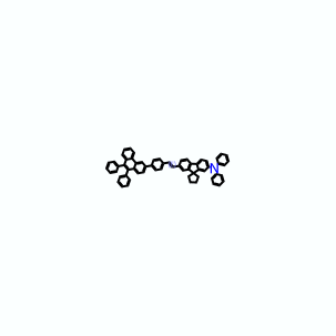 C(=C\c1ccc2c(c1)C1(CCCC1)c1cc(N(c3ccccc3)c3ccccc3)ccc1-2)/c1ccc(-c2ccc3c(-c4ccccc4)c(-c4ccccc4)c4ccccc4c3c2)cc1